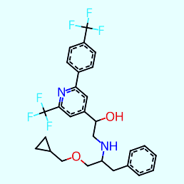 OC(CNC(COCC1CC1)Cc1ccccc1)c1cc(-c2ccc(C(F)(F)F)cc2)nc(C(F)(F)F)c1